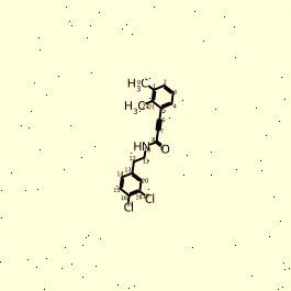 Cc1cccc(C#CC(=O)NCCc2ccc(Cl)c(Cl)c2)c1C